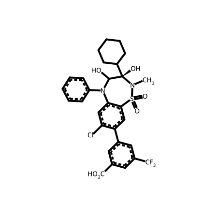 CN1[C@@](O)(C2CCCCC2)C(O)N(c2ccccc2)c2cc(Cl)c(-c3cc(C(=O)O)cc(C(F)(F)F)c3)cc2S1(=O)=O